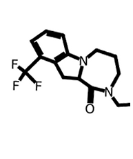 CCN1CCCN2c3cccc(C(F)(F)F)c3CC2C1=O